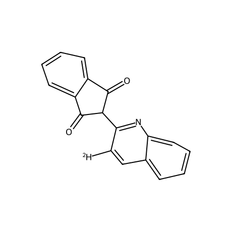 [2H]c1cc2ccccc2nc1C1C(=O)c2ccccc2C1=O